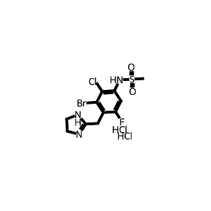 CS(=O)(=O)Nc1cc(F)c(CC2=NCCN2)c(Br)c1Cl.Cl.Cl